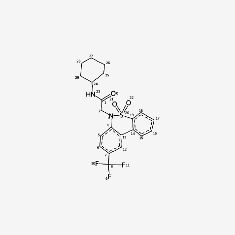 O=C(CN1c2ccc(C(F)(F)F)cc2-c2ccccc2S1(=O)=O)NC1CCCCC1